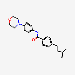 CC(C)/C=C/c1ccc(C(=O)Nc2ccc(N3CCOCC3)cc2)cc1